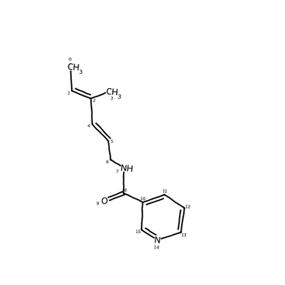 C/C=C(C)/C=C/CNC(=O)c1cccnc1